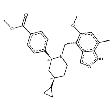 COC(=O)c1ccc([C@@H]2C[C@H](C3CC3)CCN2Cc2c(OC)cc(C)c3[nH]ncc23)cc1